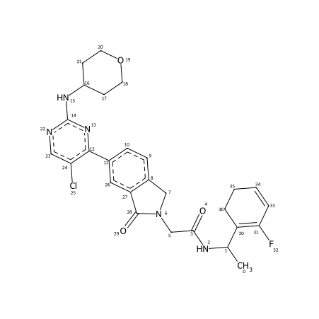 CC(NC(=O)CN1Cc2ccc(-c3nc(NC4CCOCC4)ncc3Cl)cc2C1=O)C1=C(F)C=CCC1